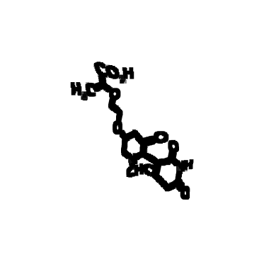 CC(OCCOC1CC(=O)C(C2CCC(=O)NC2=O)N(C=O)C1)C(=O)O